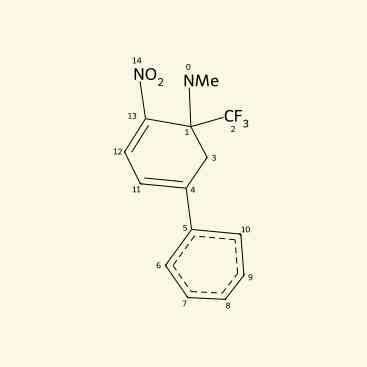 CNC1(C(F)(F)F)CC(c2ccccc2)=CC=C1[N+](=O)[O-]